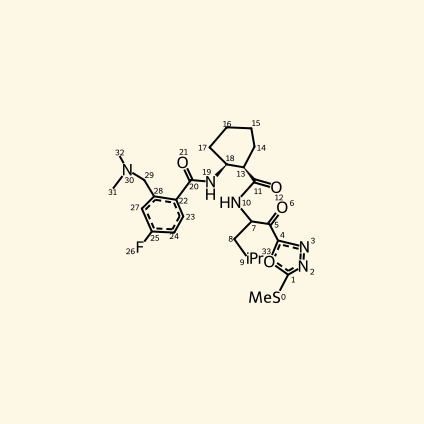 CSc1nnc(C(=O)C(CC(C)C)NC(=O)[C@@H]2CCCC[C@@H]2NC(=O)c2ccc(F)cc2CN(C)C)o1